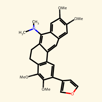 COc1cc2cc3c(c(N(C)C)c2cc1OC)CCc1c-3cc(-c2ccoc2)c(OC)c1OC